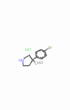 Cl.O=CC1(c2ccc(Br)cc2)CCNCC1